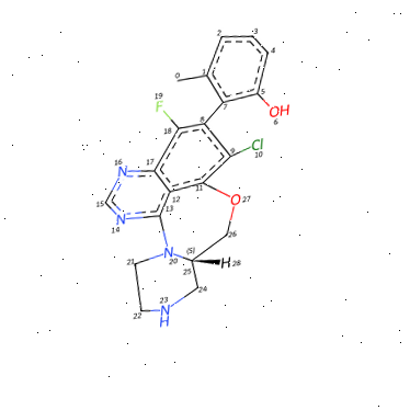 Cc1cccc(O)c1-c1c(Cl)c2c3c(ncnc3c1F)N1CCNC[C@H]1CO2